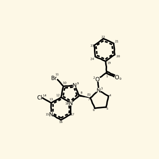 O=C(ON1CCC[C@H]1c1nc(Br)c2c(Cl)nccn12)c1ccccc1